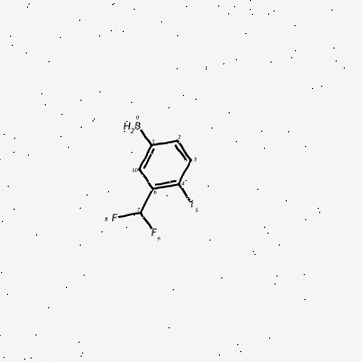 Bc1ccc(I)c(C(F)F)c1